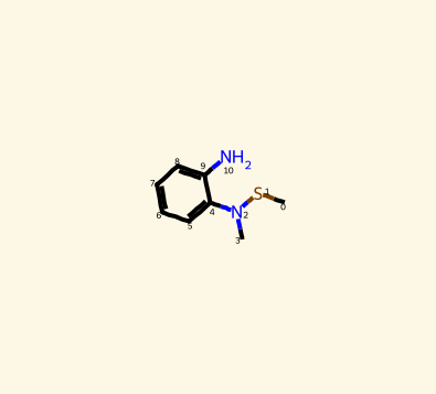 CSN(C)c1ccccc1N